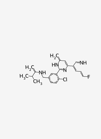 C=C1C=C(/C(C=N)=C/C=CF)N=C(c2cc(CNC(=C)C(C)C)ccc2Cl)N1